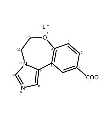 O=C([O-])c1ccc2c(c1)-c1cncn1CCO2.[Li+]